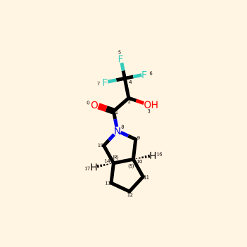 O=C(C(O)C(F)(F)F)N1C[C@H]2CCC[C@H]2C1